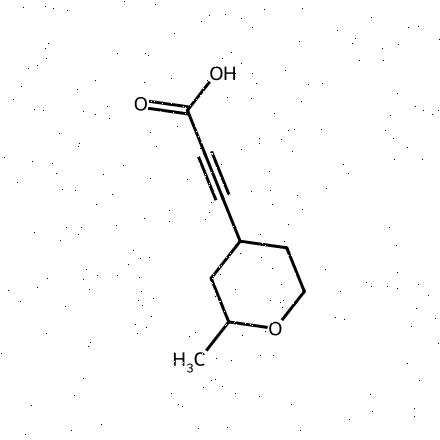 CC1CC(C#CC(=O)O)CCO1